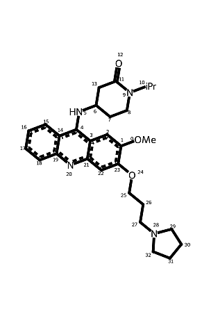 COc1cc2c(NC3CCN(C(C)C)C(=O)C3)c3ccccc3nc2cc1OCCCN1CCCC1